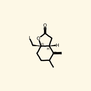 C=C1C(C)CC[C@]2(CI)OC(=O)C[C@H]12